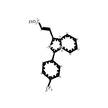 CCOC(=O)/C=C/c1nc(-c2ccc(C(F)(F)F)cc2)n2ccccc12